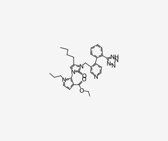 CCCCc1cn(-c2c(C(=O)OCC)ccn2CCC)c(=O)n1Cc1cnccc1-c1ccccc1-c1nnn[nH]1